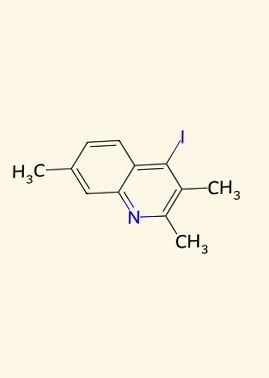 Cc1ccc2c(I)c(C)c(C)nc2c1